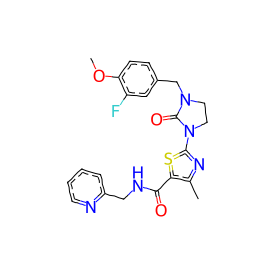 COc1ccc(CN2CCN(c3nc(C)c(C(=O)NCc4ccccn4)s3)C2=O)cc1F